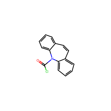 O=C(Cl)N1c2ccccc2C=Cc2ccccc21